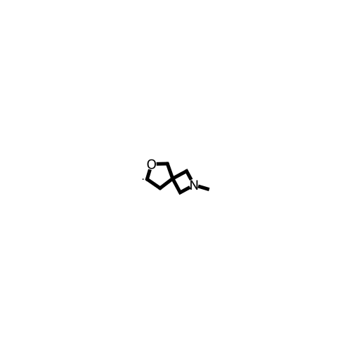 CN1CC2(C[CH]OC2)C1